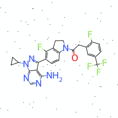 Nc1ncnc2c1c(-c1ccc3c(c1F)CCN3C(=O)Cc1cc(C(F)(F)F)ccc1F)nn2C1CC1